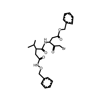 CC(C)C(CC(=O)NOCc1ccccc1)C(=O)NC(CC(=O)OCc1ccccc1)C(=O)CBr